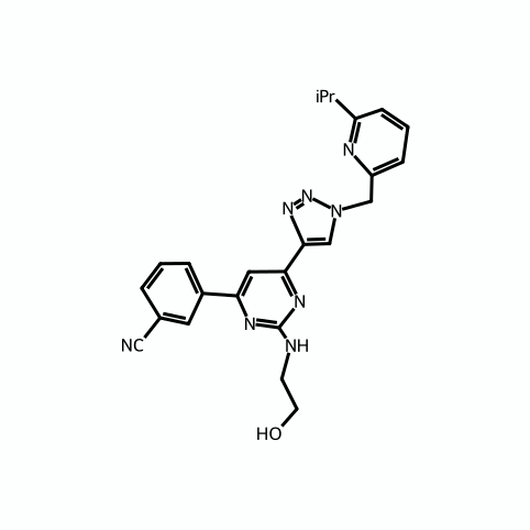 CC(C)c1cccc(Cn2cc(-c3cc(-c4cccc(C#N)c4)nc(NCCO)n3)nn2)n1